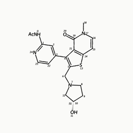 CC(=O)Nc1cc(-c2c(CN3CC[C@H](O)C3)sc3ccn(C)c(=O)c23)ccn1